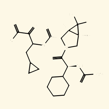 COC(=O)N[C@H](C(=O)N1C[C@H]2[C@@H]([C@H]1C(=O)NC(CC1CC1)C(=O)C(N)=O)C2(C)C)C1CCCCC1